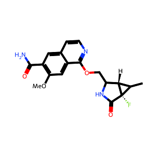 COc1cc2c(OCC3NC(=O)[C@]4(F)C(C)[C@@H]34)nccc2cc1C(N)=O